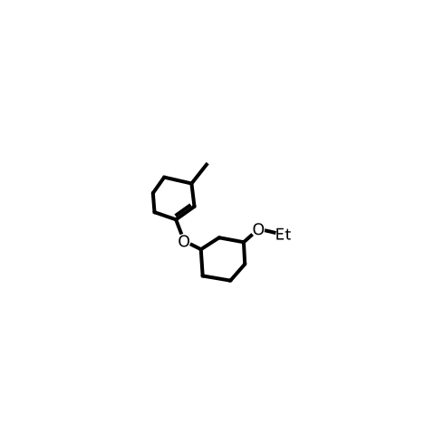 CCOC1CCCC(OC2=CC(C)CCC2)C1